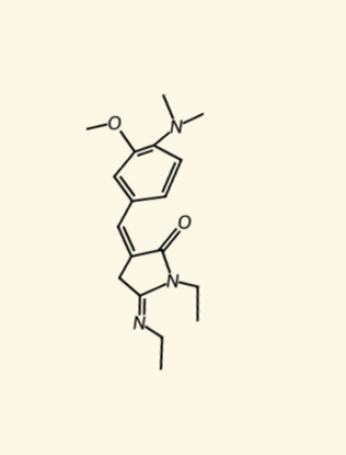 CC/N=C1/C/C(=C/c2ccc(N(C)C)c(OC)c2)C(=O)N1CC